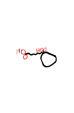 O=C(O)CCCCCCCC1(C(=O)O)CCCCCCCCCCCCCCCC1